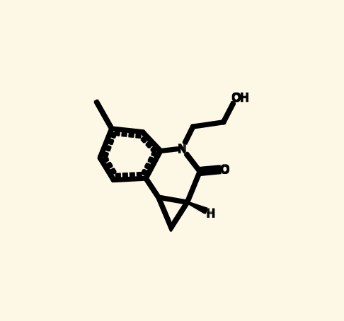 Cc1ccc2c(c1)N(CCO)C(=O)[C@@H]1CC21